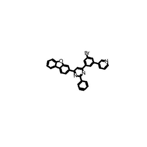 Brc1cc(-c2cccnc2)cc(-c2cc(-c3ccc4c(c3)oc3ccccc34)nc(-c3cc#ccc3)n2)c1